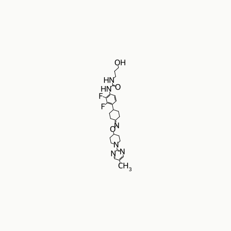 Cc1cnc(N2CCC(ON=C3CCC(c4ccc(NC(=O)NCCCO)c(F)c4F)CC3)CC2)nc1